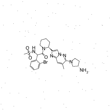 Cc1cc2nc([C@@H]3CCCCN3C(=O)C(NS(C)(=O)=O)c3ccccc3Br)cn2nc1N1CC[C@H](N)C1